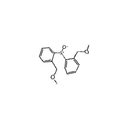 COCc1ccccc1[S+]([O-])c1ccccc1COC